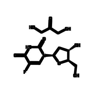 O=C(CO)CO.O=c1[nH]c(=O)n([C@H]2C[C@H](O)[C@@H](CO)O2)cc1F